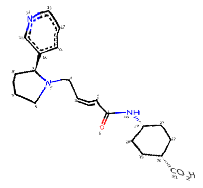 O=C(/C=C/CN1CCC[C@H]1c1cccnc1)N[C@H]1CC[C@@H](C(=O)O)CC1